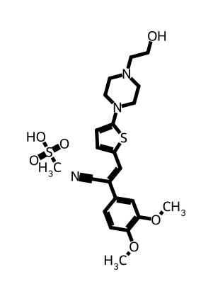 COc1ccc(C(C#N)=Cc2ccc(N3CCN(CCO)CC3)s2)cc1OC.CS(=O)(=O)O